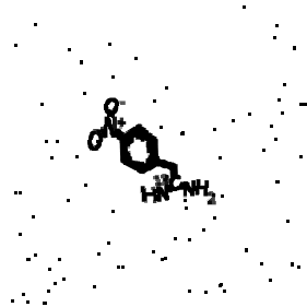 N=[13C](N)Cc1ccc([N+](=O)[O-])cc1